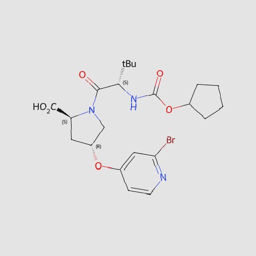 CC(C)(C)[C@H](NC(=O)OC1CCCC1)C(=O)N1C[C@H](Oc2ccnc(Br)c2)C[C@H]1C(=O)O